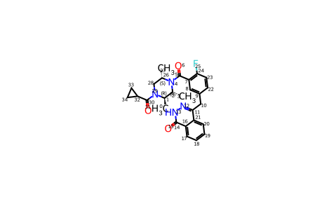 C[C@@H]1[C@@H](C)N(C(=O)c2cc(Cc3n[nH]c(=O)c4ccccc34)ccc2F)[C@@H](C)CN1C(=O)C1CC1